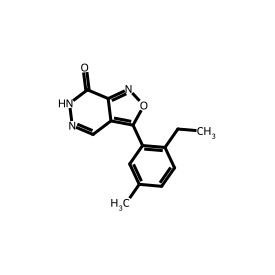 CCc1ccc(C)cc1-c1onc2c(=O)[nH]ncc12